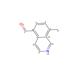 Cc1ccc(C=O)c2ccncc12